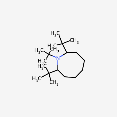 CC(C)(C)C1CCCCCC(C(C)(C)C)N1C(C)(C)C